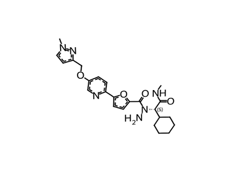 CNC(=O)[C@H](C1CCCCC1)N(N)C(=O)c1ccc(-c2ccc(OCc3ccn(C)n3)cn2)o1